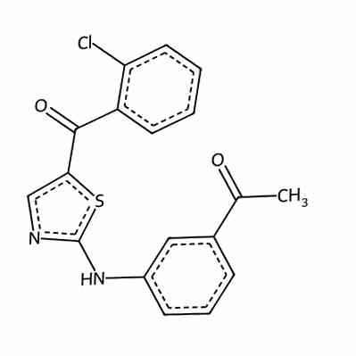 CC(=O)c1cccc(Nc2ncc(C(=O)c3ccccc3Cl)s2)c1